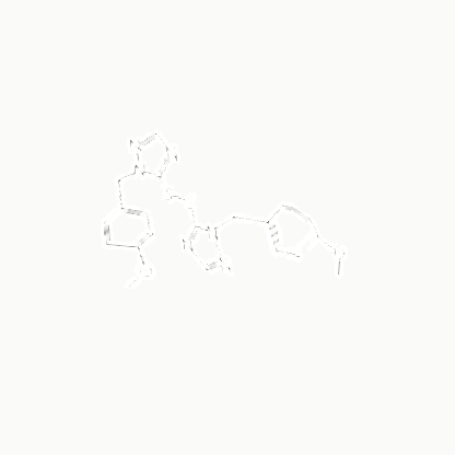 COc1ccc(Cn2ncnc2SSc2ncnn2Cc2ccc(OC)cc2)cc1